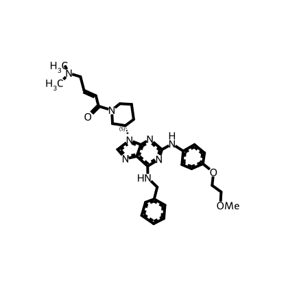 COCCOc1ccc(Nc2nc(NCc3ccccc3)c3ncn([C@H]4CCCN(C(=O)C=CCN(C)C)C4)c3n2)cc1